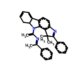 C=C(/N=C(\C)c1ccccc1)N1c2c(ccc3c2C(C)(C)C(c2ccccc2)=N3)C2=CC=CCC21